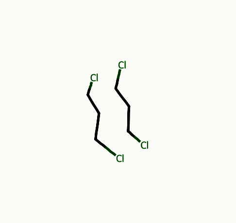 ClCCCCl.ClCCCCl